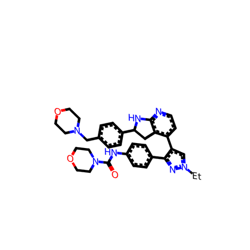 CCn1cc(-c2ccnc3c2CC(c2ccc(CN4CCOCC4)cc2)N3)c(-c2ccc(NC(=O)N3CCOCC3)cc2)n1